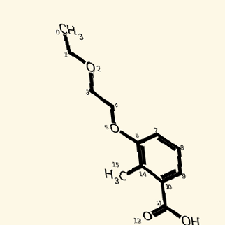 CCOCCOc1cccc(C(=O)O)c1C